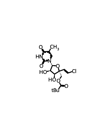 Cc1cn([C@@H]2O[C@](C=CCl)(COC(=O)C(C)(C)C)[C@@H](O)[C@H]2O)c(=O)[nH]c1=O